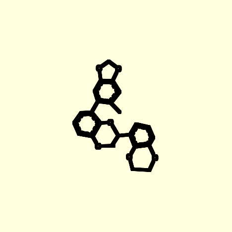 Cc1cc2c(cc1-c1cccc3c1OC(c1cccc4c1OCCO4)[C]O3)OCO2